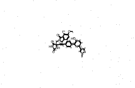 COc1ccc2c(c1F)C(=O)N(C[C@@]1(C#Cc3ccc(-c4nc(-c5cnn(C)c5)ccc4O)cc3)NC(=O)NC1=O)C2